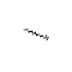 C[Si](C)(C)OCCOCCOCCO